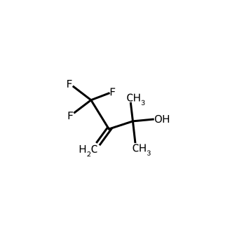 C=C(C(C)(C)O)C(F)(F)F